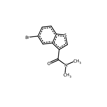 CN(C)C(=O)c1csc2ccc(Br)cc12